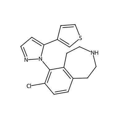 Clc1ccc2c(c1-n1nccc1-c1ccsc1)CCNCC2